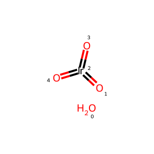 O.[O]=[Ir](=[O])=[O]